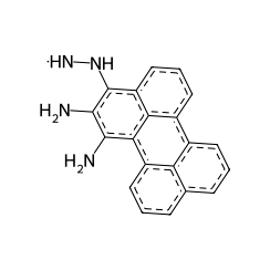 [NH]Nc1c(N)c(N)c2c3cccc4cccc(c5cccc1c52)c43